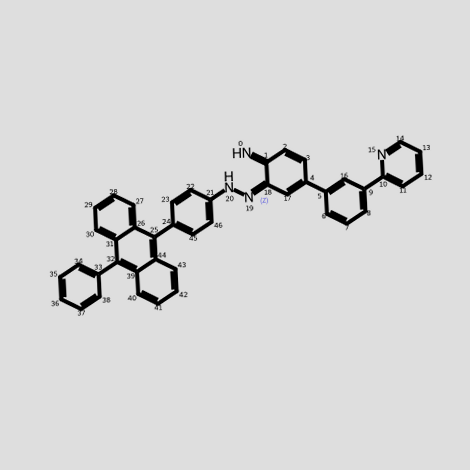 N=C1C=CC(c2cccc(-c3ccccn3)c2)=C/C1=N/Nc1ccc(-c2c3ccccc3c(-c3ccccc3)c3ccccc23)cc1